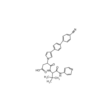 CC(C)(C)C(NC(=O)C(CC(=O)O)n1ccc(-c2ccc(-c3ccc(C#N)cc3)cc2)c1)C(=O)Nc1ccncc1